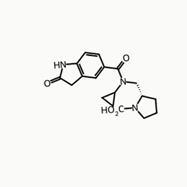 O=C1Cc2cc(C(=O)N(C[C@@H]3CCCN3C(=O)O)C3CC3)ccc2N1